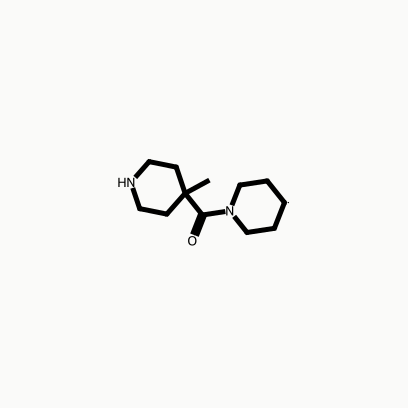 CC1(C(=O)N2CC[CH]CC2)CCNCC1